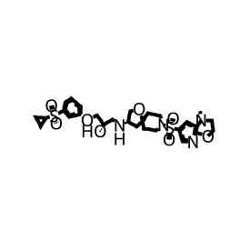 CN1CCOc2ncc(S(=O)(=O)N3CCC4(CC3)C[C@@H](NC[C@H](O)COc3cccc(S(=O)(=O)C5CC5)c3)CO4)cc21